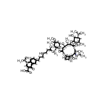 CO/N=C1\[C@H](C)C[C@@](C)(O)[C@H](O[C@@H]2O[C@H](C)C[C@H](N(C)C)[C@H]2O)[C@@H](C)[C@H](O[C@H]2C[C@@](C)(OC)[C@@H](OC(=O)CCNCCCc3ccc4c(c3)c(=O)c(C(=O)O)cn4N(C)C)[C@H](C)O2)[C@@H](C)C(=O)O[C@@H]2CC[C@]2(O)[C@@H]1O